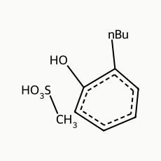 CCCCc1ccccc1O.CS(=O)(=O)O